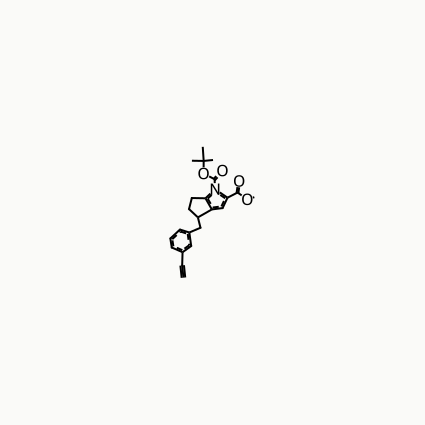 C#Cc1cccc(CC2CCc3c2cc(C(=O)OC)n3C(=O)OC(C)(C)C)c1